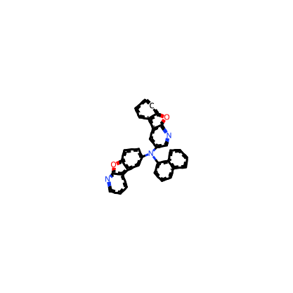 c1ccc2c(N(c3ccc4oc5ncccc5c4c3)c3cnc4oc5ccccc5c4c3)cccc2c1